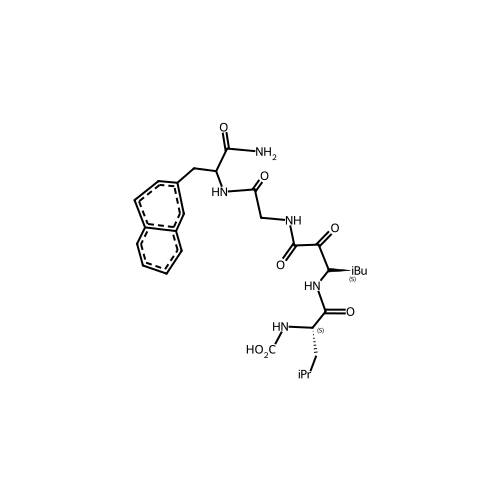 CC[C@H](C)C(NC(=O)[C@H](CC(C)C)NC(=O)O)C(=O)C(=O)NCC(=O)NC(Cc1ccc2ccccc2c1)C(N)=O